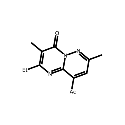 CCc1nc2c(C(C)=O)cc(C)nn2c(=O)c1C